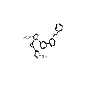 Cn1cc(C2CC2c2c(C(=O)O)cnn2-c2cccc(-c3cccc(OCc4ccccc4)c3)c2)nn1